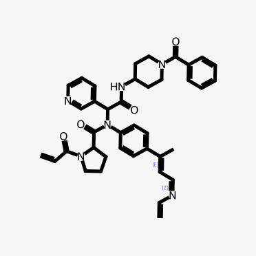 C=C/N=C\C=C(/C)c1ccc(N(C(=O)C2CCCN2C(=O)C=C)C(C(=O)NC2CCN(C(=O)c3ccccc3)CC2)c2cccnc2)cc1